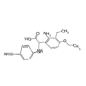 CCOc1ccc(C(Nc2ccc(C#N)cc2)C(=O)O)c(N)c1CC